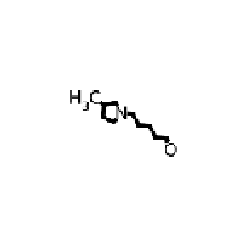 CC1CCN(CCCCC=O)C1